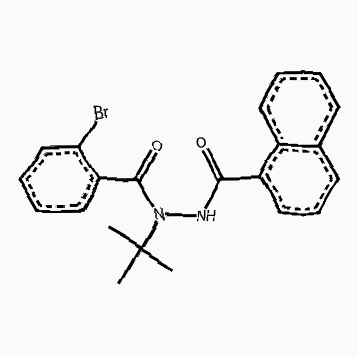 CC(C)(C)N(NC(=O)c1cccc2ccccc12)C(=O)c1ccccc1Br